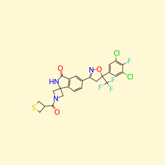 O=C1NC2(CN(C(=O)C3CSC3)C2)c2ccc(C3=NOC(c4cc(Cl)c(F)c(Cl)c4)(C(F)(F)F)C3)cc21